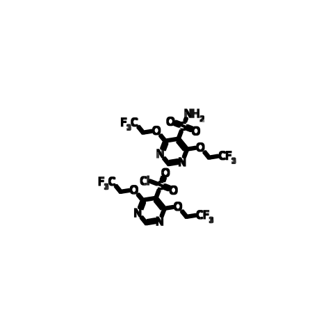 NS(=O)(=O)c1c(OCC(F)(F)F)ncnc1OCC(F)(F)F.O=S(=O)(Cl)c1c(OCC(F)(F)F)ncnc1OCC(F)(F)F